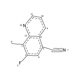 Cc1c(F)cc(C#N)c2cccnc12